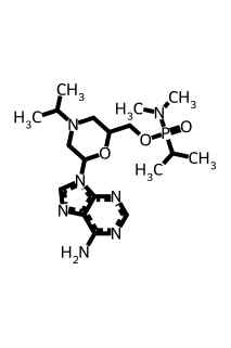 CC(C)N1CC(COP(=O)(C(C)C)N(C)C)OC(n2cnc3c(N)ncnc32)C1